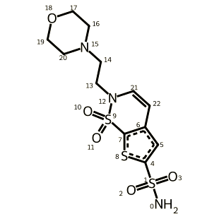 NS(=O)(=O)c1cc2c(s1)S(=O)(=O)N(CCN1CCOCC1)C=C2